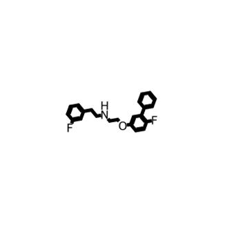 Fc1cccc(CCNCCOc2ccc(F)c(-c3ccccc3)c2)c1